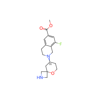 COC(=O)c1cc(F)c2c(c1)CCN([C@H]1CCOC3(CNC3)C1)C2